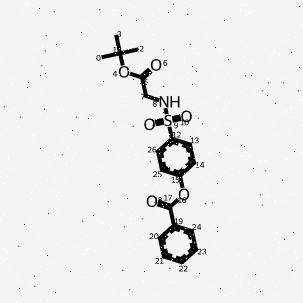 CC(C)(C)OC(=O)CNS(=O)(=O)c1ccc(OC(=O)c2ccccc2)cc1